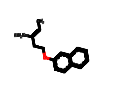 CC=C(CCOc1ccc2ccccc2c1)C(=O)O